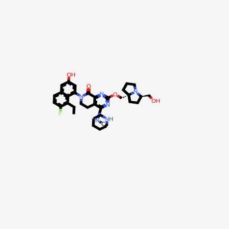 CCc1c(F)ccc2cc(O)cc(N3CCc4c(nc(OC[C@]56CCCN5[C@@H](CO)CC6)nc4N4CC5CCC4CN5)C3=O)c12